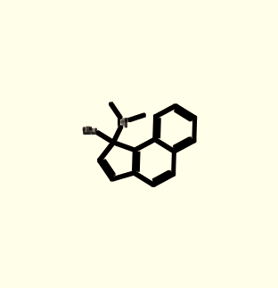 [CH3][Hf]([CH3])[C]1(C(C)(C)C)C=Cc2ccc3ccccc3c21